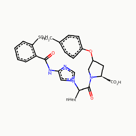 CCCCCCC(C(=O)N1CC(Oc2ccc(C(=O)O)cc2)C[C@H]1C(=O)O)n1cnc(NC(=O)c2ccccc2S(=O)(=O)O)c1